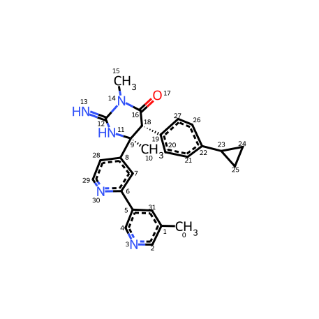 Cc1cncc(-c2cc([C@@]3(C)NC(=N)N(C)C(=O)[C@@H]3c3ccc(C4CC4)cc3)ccn2)c1